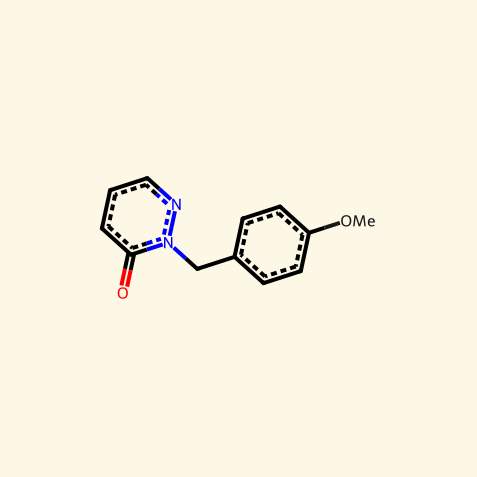 COc1ccc(Cn2ncccc2=O)cc1